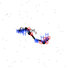 C[C@@H](NC(=O)c1cccc(NCc2nnc(-c3ccncn3)n2C)c1)c1cccc(OCCCCCCCn2cc(CCCC(=O)Nc3cccc4c3CN(C3CCC(=O)NC3=O)C4=O)nn2)c1